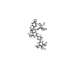 CCC(=O)N(O)C#CCc1cc(C2COC(c3cc(OC)c(OC)c(OC)c3)C2)cc(OC)c1OC(C)Sc1ccc(Cl)cc1